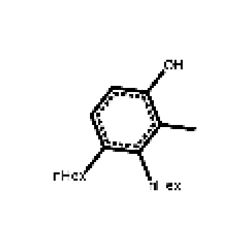 CCCCCCc1ccc(O)c(C)c1CCCCCC